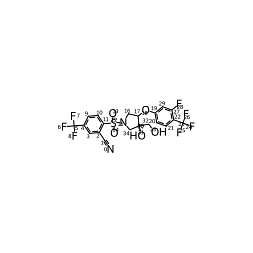 N#Cc1cc(C(F)(F)F)ccc1S(=O)(=O)N1CC(Oc2ccc(C(F)(F)F)c(F)c2)[C@](O)(CO)C1